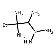 CCC(N)(N)C(N)N(N)N